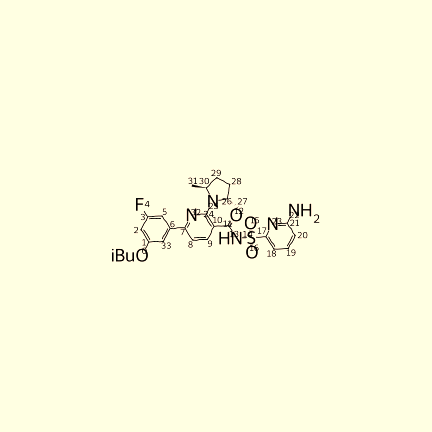 CC(C)COc1cc(F)cc(-c2ccc(C(=O)NS(=O)(=O)c3cccc(N)n3)c(N3[C@@H](C)CC[C@@H]3C)n2)c1